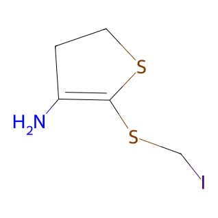 NC1=C(SCI)SCC1